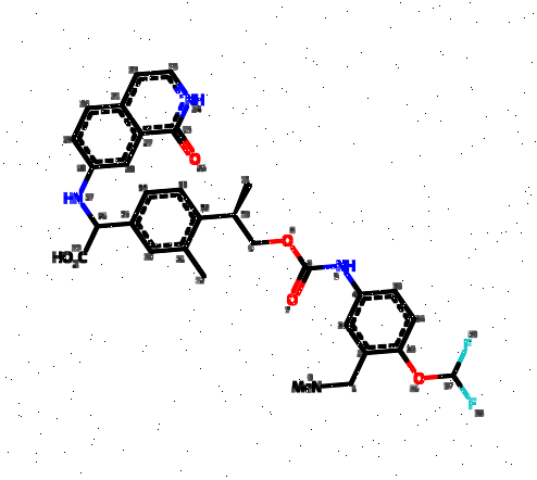 CNCc1cc(NC(=O)OC[C@H](C)c2ccc(C(Nc3ccc4cc[nH]c(=O)c4c3)C(=O)O)cc2C)ccc1OC(F)F